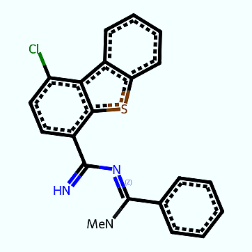 CN/C(=N\C(=N)c1ccc(Cl)c2c1sc1ccccc12)c1ccccc1